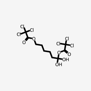 O=C(OCCCCCC(O)(O)OC(=O)C(Cl)(Cl)Cl)C(Cl)(Cl)Cl